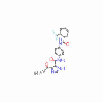 CNC(=O)c1nc[nH]c1C(=O)Nc1ccc(NC(=O)c2ccccc2C(F)F)cc1